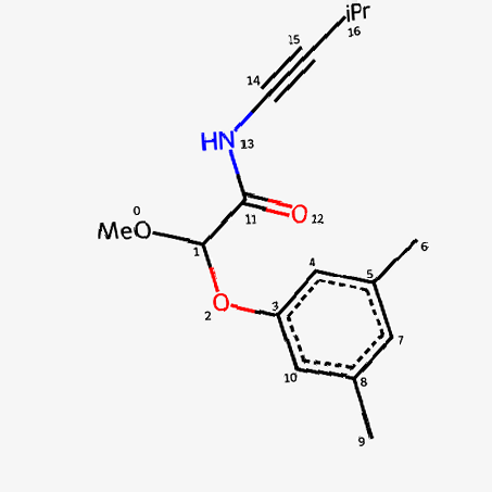 COC(Oc1cc(C)cc(C)c1)C(=O)NC#CC(C)C